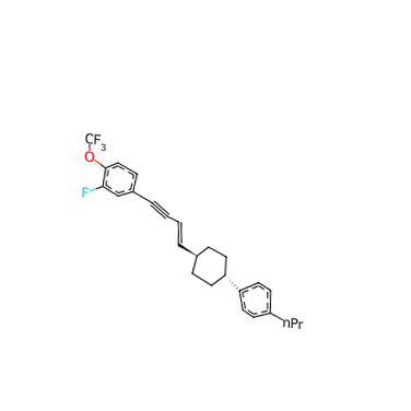 CCCc1ccc([C@H]2CC[C@H](C=CC#Cc3ccc(OC(F)(F)F)c(F)c3)CC2)cc1